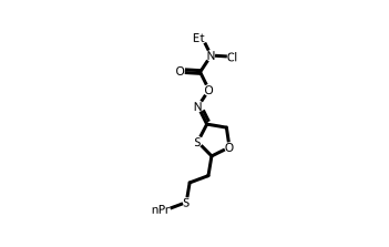 CCCSCCC1OCC(=NOC(=O)N(Cl)CC)S1